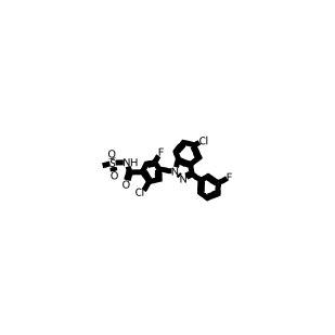 CS(=O)(=O)NC(=O)c1cc(F)c(-n2nc(-c3cccc(F)c3)c3cc(Cl)ccc32)cc1Cl